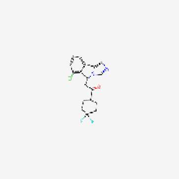 O=C(CC1c2c(Cl)cccc2-c2cncn21)C1CCC(F)(F)CC1